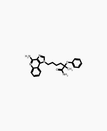 CC(CCCCn1cnc2c(N)nc3ccccc3c21)(Oc1ccccc1)C(N)=O